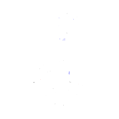 O=C1Nc2cc(SNc3cncnc3)ccc2[S+]([O-])c2ccccc21